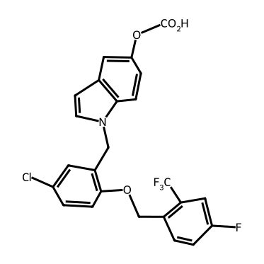 O=C(O)Oc1ccc2c(ccn2Cc2cc(Cl)ccc2OCc2ccc(F)cc2C(F)(F)F)c1